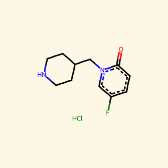 Cl.O=c1ccc(F)cn1CC1CCNCC1